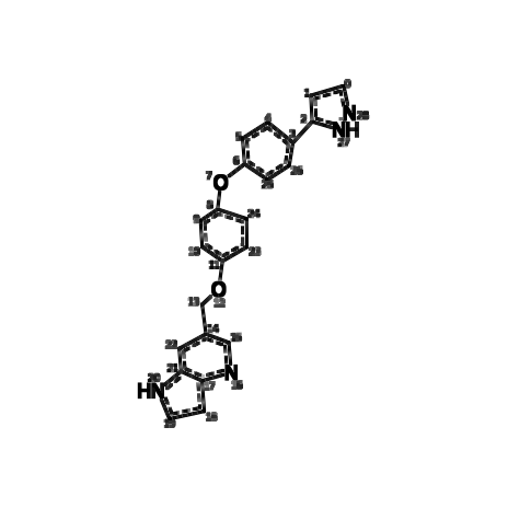 c1cc(-c2ccc(Oc3ccc(OCc4cnc5cc[nH]c5c4)cc3)cc2)[nH]n1